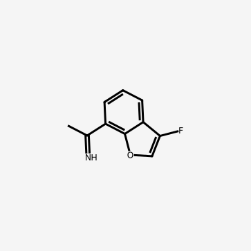 CC(=N)c1cccc2c(F)coc12